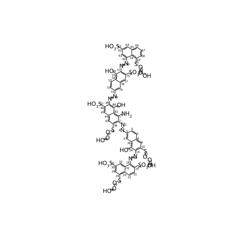 Nc1c(N=Nc2ccc3cc(SOOO)c(N=Nc4c(S(=O)(=O)O)ccc5c(SOOO)cc(S(=O)(=O)O)cc45)c(O)c3c2)c(SOOO)cc2cc(S(=O)(=O)O)c(N=Nc3ccc4c(O)c(N=Nc5cc(S(=O)(=O)O)cc6cccc(SOOO)c56)c(S(=O)(=O)O)cc4c3)c(O)c12